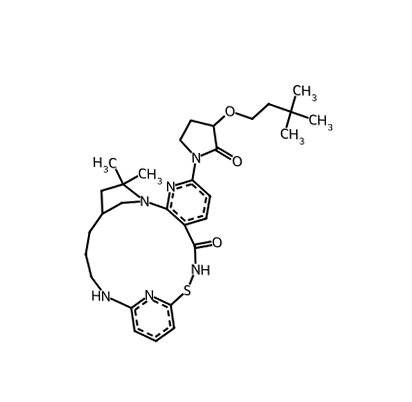 CC(C)(C)CCOC1CCN(c2ccc3c(n2)N2CC(CCCNc4cccc(n4)SNC3=O)CC2(C)C)C1=O